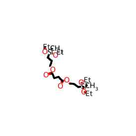 CCO[Si](C)(CCCOC(=O)CCC(=O)OCCC[Si](C)(OCC)OCC)OCC